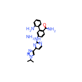 CC(C)n1cc(-c2ccnc(Nc3ccc(C(N)=O)c(-c4ccccc4N)c3)n2)nn1.N